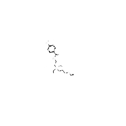 CC[N+](CC)(CCCNC=O)CCNC(=O)c1ccc(NC)cc1.[Cl-]